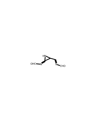 O=CN=C[C]1NC1=NC=O